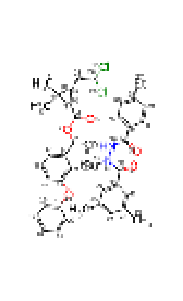 CC1(C)[C@H](C(=O)OC(C#N)c2cccc(Oc3ccccc3)c2)[C@@H]1C=C(Cl)Cl.CCc1ccc(C(=O)NN(C(=O)c2cc(C)cc(C)c2)C(C)(C)C)cc1